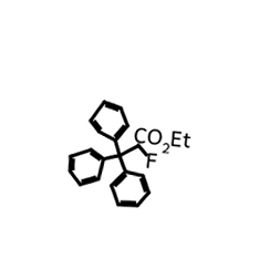 CCOC(=O)C(F)C(c1ccccc1)(c1ccccc1)c1ccccc1